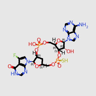 Nc1ncnc2c1ncn2[C@@H]1O[C@@H]2COP(=O)(O)O[C@@H]3C[C@@H](COP(=O)(S)O[C@H]2[C@H]1O)O[C@H]3n1cc(F)c2c(=O)[nH]cnc21